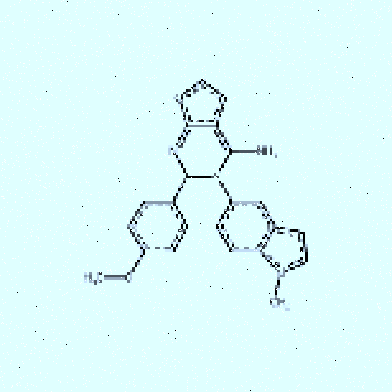 COc1ccc(C2N=c3occc3=C(N)N2c2ccc3c(ccn3C)c2)cc1